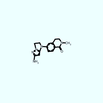 CN1CCc2cc(N3CCn4nc(N)cc43)ccc2C1=O